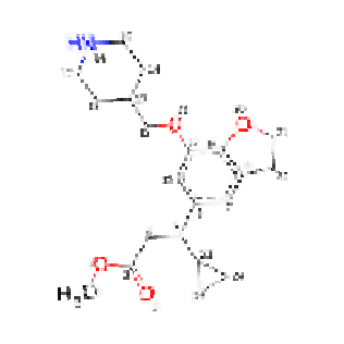 COC(=O)CC(c1cc2c(c(OCC3CCNCC3)c1)OCC2)C1CC1